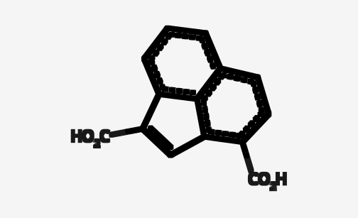 O=C(O)C1=Cc2c(C(=O)O)ccc3cccc1c23